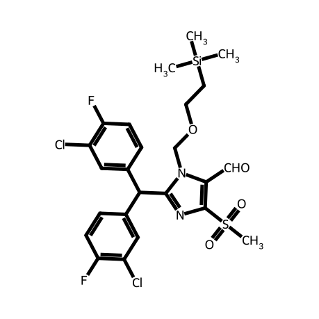 C[Si](C)(C)CCOCn1c(C(c2ccc(F)c(Cl)c2)c2ccc(F)c(Cl)c2)nc(S(C)(=O)=O)c1C=O